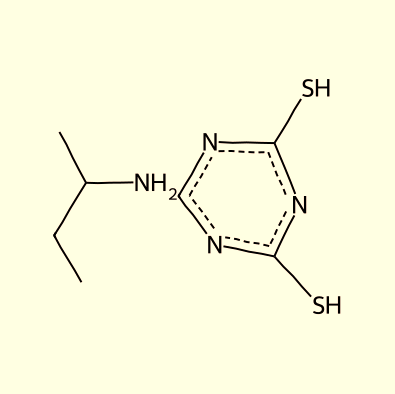 CCC(C)N.Sc1ncnc(S)n1